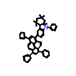 CC1(C)CC(C)(C)C2c3cc(-c4cc(-c5ccccc5)c5ccc6c(-c7ccccc7)cc(-c7ccccc7)c7ccc4c5c67)ccc3N(c3ccccc3)C2(C)C1